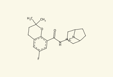 CN1C2CCC1CC(NC(=O)c1cc(F)cc3c1OC(C)(C)CC3)C2